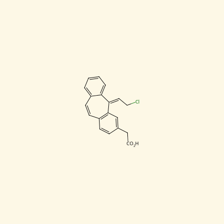 O=C(O)Cc1ccc2c(c1)/C(=C\CCl)c1ccccc1C=C2